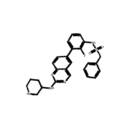 O=S(=O)(Cc1ccccc1)Nc1cccc(-c2ccc3nc(NC4CCCNC4)ncc3c2)c1F